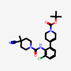 CC1(C#N)CCN(C(=O)Nc2c(Cl)cccc2C2=CCN(C(=O)OC(C)(C)C)CC2)CC1